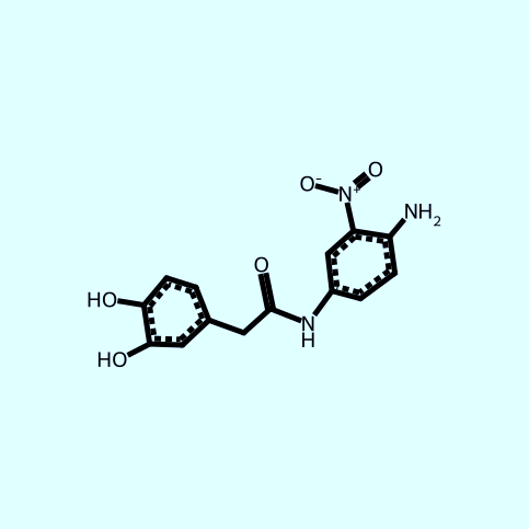 Nc1ccc(NC(=O)Cc2ccc(O)c(O)c2)cc1[N+](=O)[O-]